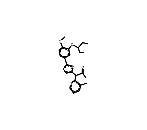 CCC(CC)Oc1cc(-c2nc(C(C(C)=O)c3ncccc3C)co2)ccc1OC